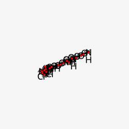 CNCCOCCOCCOCCNC(=O)c1cccc(C(=O)NCCOCCOCCOCCNS(=O)(=O)c2cccc(C3CN(C)Cc4c(Cl)cc(Cl)cc43)c2)c1